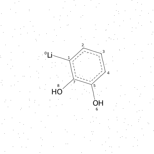 [Li][c]1cccc(O)c1O